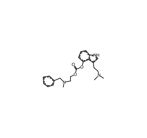 CN(C)CCc1c[nH]c2cccc(OC(=O)OCCN(C)Cc3ccccc3)c12